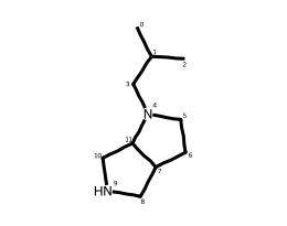 CC(C)CN1CCC2CNCC21